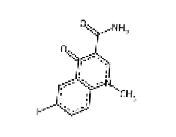 Cn1cc(C(N)=O)c(=O)c2cc(F)ccc21